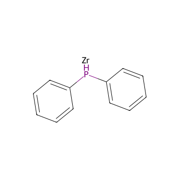 [Zr].c1ccc(Pc2ccccc2)cc1